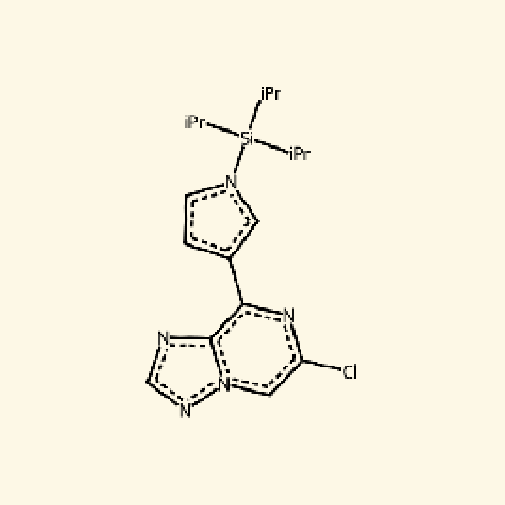 CC(C)[Si](C(C)C)(C(C)C)n1ccc(-c2nc(Cl)cn3ncnc23)c1